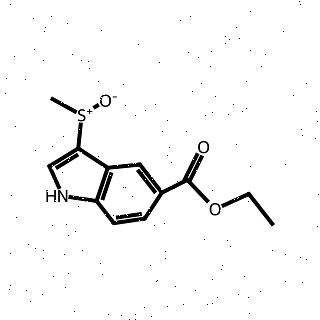 CCOC(=O)c1ccc2[nH]cc([S+](C)[O-])c2c1